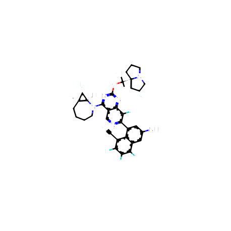 [2H]C([2H])(Oc1nc(N2CCCC[C@H]3[C@H](F)[C@H]32)c2cnc(-c3cc(N)cc4c(F)c(F)c(F)c(C#C)c34)c(F)c2n1)[C@@]12CCCN1C[C@H](F)C2